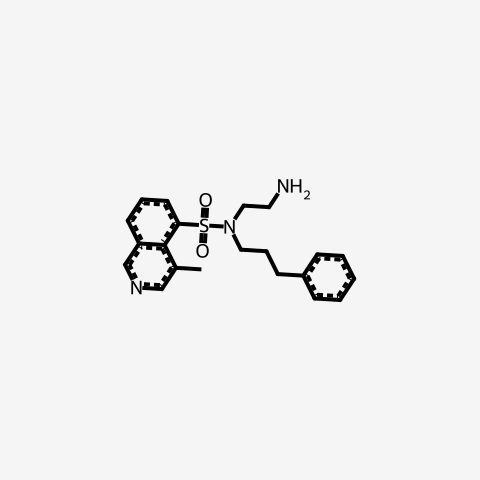 Cc1cncc2cccc(S(=O)(=O)N(CCN)CCCc3ccccc3)c12